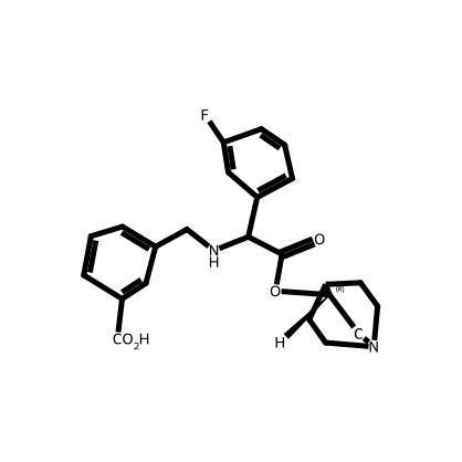 O=C(O)c1cccc(CNC(C(=O)O[C@H]2CN3CCC2CC3)c2cccc(F)c2)c1